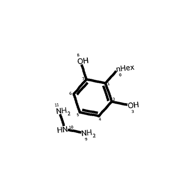 CCCCCCc1c(O)cccc1O.NNN